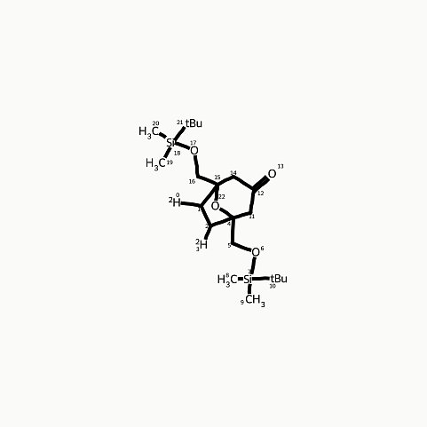 [2H]C1C([2H])C2(CO[Si](C)(C)C(C)(C)C)CC(=O)CC1(CO[Si](C)(C)C(C)(C)C)O2